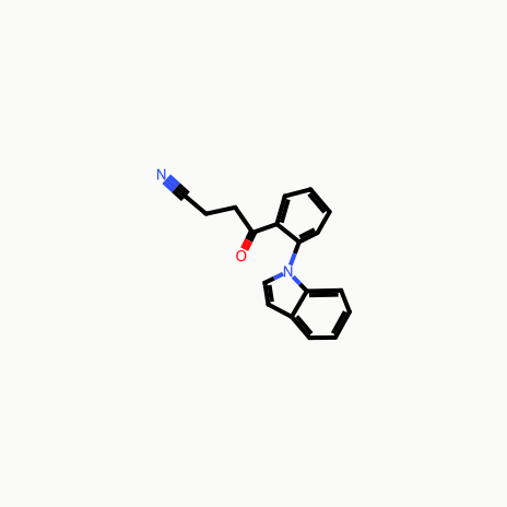 N#CCCC(=O)c1ccccc1-n1ccc2ccccc21